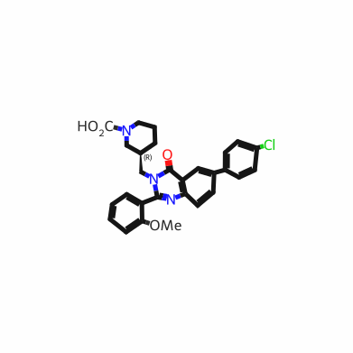 COc1ccccc1-c1nc2ccc(-c3ccc(Cl)cc3)cc2c(=O)n1C[C@@H]1CCCN(C(=O)O)C1